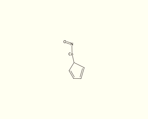 O=[N][Co][CH]1C=CC=C1